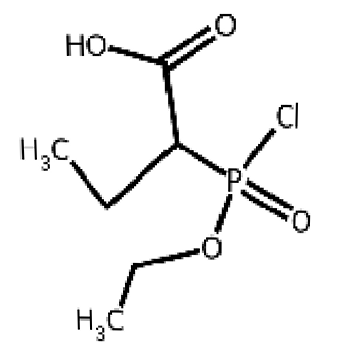 CCOP(=O)(Cl)C(CC)C(=O)O